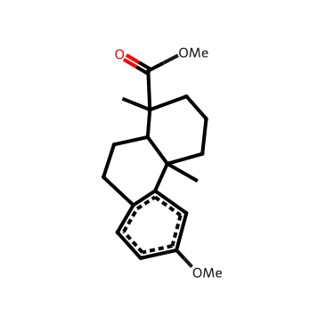 COC(=O)C1(C)CCCC2(C)c3cc(OC)ccc3CCC12